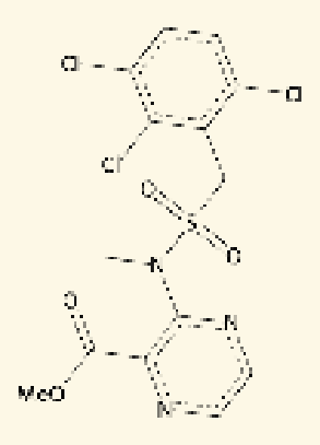 COC(=O)c1nccnc1N(C)S(=O)(=O)Cc1c(Cl)ccc(Cl)c1Cl